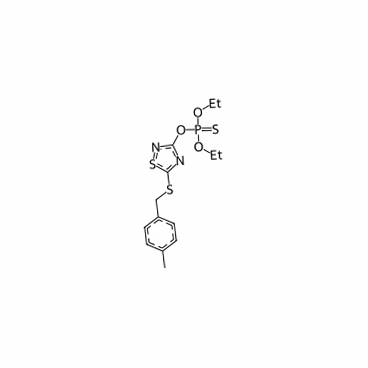 CCOP(=S)(OCC)Oc1nsc(SCc2ccc(C)cc2)n1